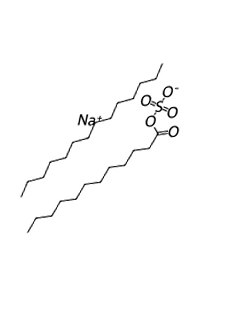 CCCCCCCCCCCC(=O)OS(=O)(=O)[O-].CCCCCCCCCCCCCC.[Na+]